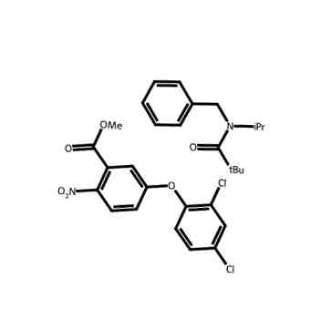 CC(C)N(Cc1ccccc1)C(=O)C(C)(C)C.COC(=O)c1cc(Oc2ccc(Cl)cc2Cl)ccc1[N+](=O)[O-]